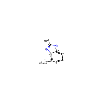 CCCc1nc2c(OC)cccc2[nH]1